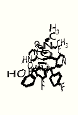 CCN(CC)S(=O)(=O)N1CCNC[C@@H]1CCc1c(F)cncc1[C@@](CCNC(=O)c1ccccc1O)(c1ccc(F)cc1)c1cc(F)cc(F)c1